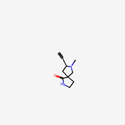 C#CC1CC2(CCNC2=O)CN1C